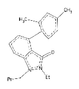 CCn1c(=O)c2c(-c3ccc(C)cc3C)cccc2n1CC(C)C